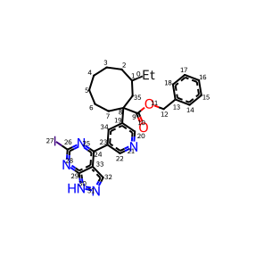 CCC1CCCCCCC(C(=O)OCc2ccccc2)(c2cncc(-c3nc(I)nc4[nH]ncc34)c2)C1